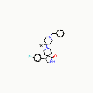 N#CC1(N2CCC3(CC2)C(=O)NCC3c2ccc(F)cc2)CCN(Cc2ccccc2)CC1